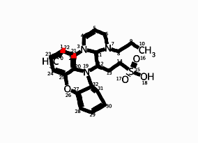 CCCN1C=CCN(CCC)C1C(CCS(=O)(=O)O)N1c2ccccc2Oc2ccccc21